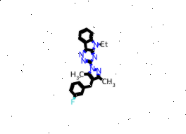 CCn1c2ccccc2c2nnc(-n3nc(C)c(Cc4cccc(F)c4)c3C)nc21